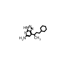 CC(CCC1CCCCC1)c1cc(N)nc2[nH]nnc12